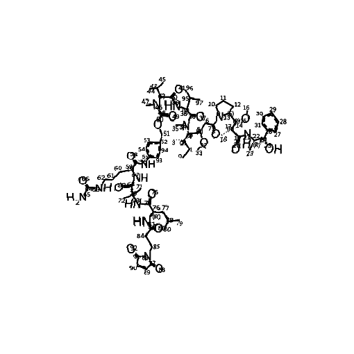 CC[C@H](C)[C@@H]([C@@H](CC(=O)N1CCC[C@H]1[C@H](OC)[C@@H](C)C(=O)N[C@H](C)[C@@H](O)c1ccccc1)OC)N(C)C(=O)[C@@H](NC(=O)[C@H](C(C)C)N(C)C(=O)OCc1ccc(NC(=O)[C@H](CCCNC(N)=O)NC(=O)C(C)(C)NC(=O)[C@@H](CC(C)C)NC(=O)CCN2C(=O)C=CC2=O)cc1)C(C)C